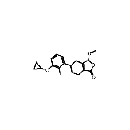 COC1OC(=O)C2=C1CC(c1cccc(OC3CC3)c1C)CC2